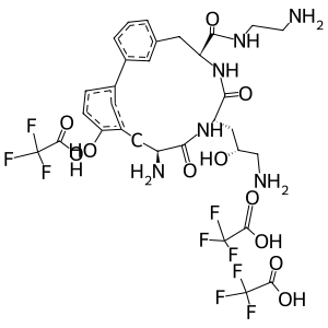 NCCNC(=O)[C@@H]1Cc2cccc(c2)-c2ccc(O)c(c2)C[C@H](N)C(=O)N[C@@H](C[C@@H](O)CN)C(=O)N1.O=C(O)C(F)(F)F.O=C(O)C(F)(F)F.O=C(O)C(F)(F)F